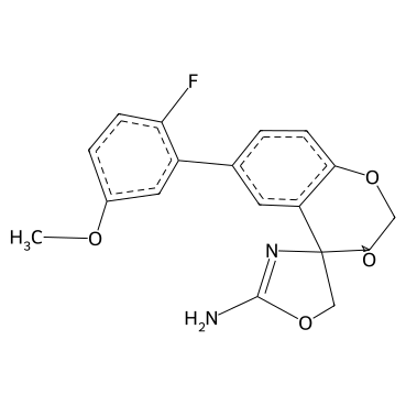 COc1ccc(F)c(-c2ccc3c(c2)C2(COC(N)=N2)C2(COC2)CO3)c1